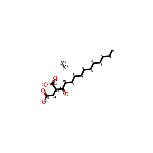 CCCCCCCCCCCC(=O)C(CC(=O)[O-])C(=O)[O-].[K+].[K+]